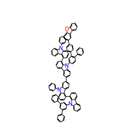 c1ccc(-c2cc(-c3ccccc3)cc(-n3c4ccccc4c4cccc(-c5cccc6c5c5ccc(-c7ccc8c(c7)c7cccc(-c9cccc%10c9c9ccccc9n%10-c9ccccc9)c7n8-c7ccc(-c8ccccc8)c(-c8ccc(-c9ccc%10oc%11ccccc%11c%10c9)cc8)c7)cc5n6-c5ccccc5)c43)c2)cc1